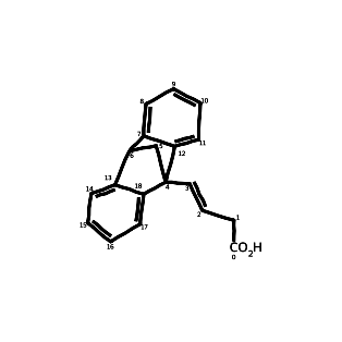 O=C(O)CC=CC12CC(c3ccccc31)c1ccccc12